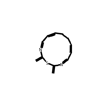 C=C1/N=C\C=C/CC/C=C\C=N/C(=C)S1